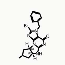 CC1C[C@H]2Nc3nc(=O)c4c(nc(Br)n4Cc4ccccc4)n3[C@H]2C1